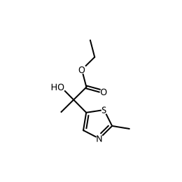 CCOC(=O)C(C)(O)c1cnc(C)s1